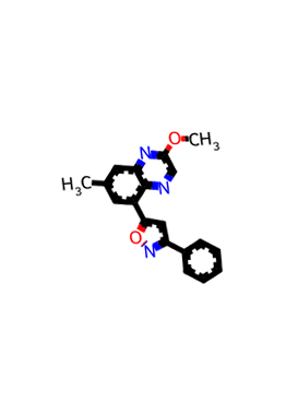 COc1cnc2c(-c3cc(-c4ccccc4)no3)cc(C)cc2n1